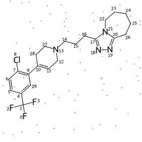 FC(F)(F)c1ccc(Cl)c(C2=CCN(CCCc3nnc4n3CCCCC4)CC2)c1